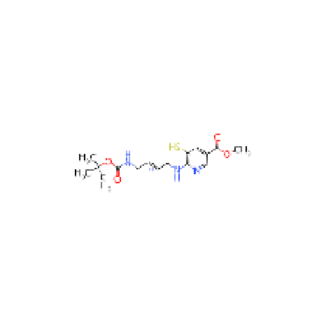 COC(=O)c1cnc(NC/C=C/CNC(=O)OC(C)(C)C)c(S)c1